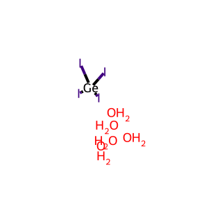 O.O.O.O.O.[I][Ge]([I])([I])[I]